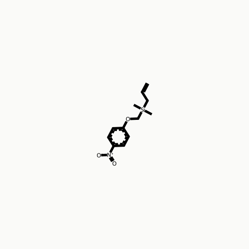 C=CC[Si](C)(C)COc1ccc([N+](=O)[O-])cc1